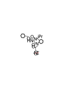 CC(C)C1=N[C@H](NC(=O)OCc2ccccc2)C(=O)N(CC(=O)N2CC3CCC(CC3)C2)c2ccccc21